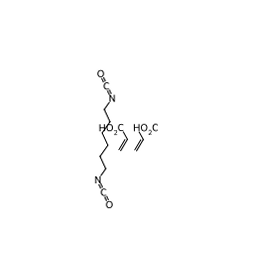 C=CC(=O)O.C=CC(=O)O.O=C=NCCCCCCN=C=O